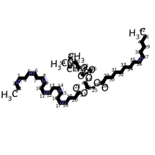 CC/C=C\C/C=C\C/C=C\C/C=C\C/C=C\C/C=C\CCC(=O)O[C@H](COC(=O)CCCCCCC/C=C\CCCCC)COP(=O)([O-])OCC[N+](C)(C)C